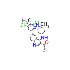 Cc1c(Cl)cc(-c2ccc3ncc(C(=O)C4CC4)c(NC4CCC(C)(N)CC4)c3c2)cc1Cl